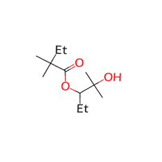 CCC(OC(=O)C(C)(C)CC)C(C)(C)O